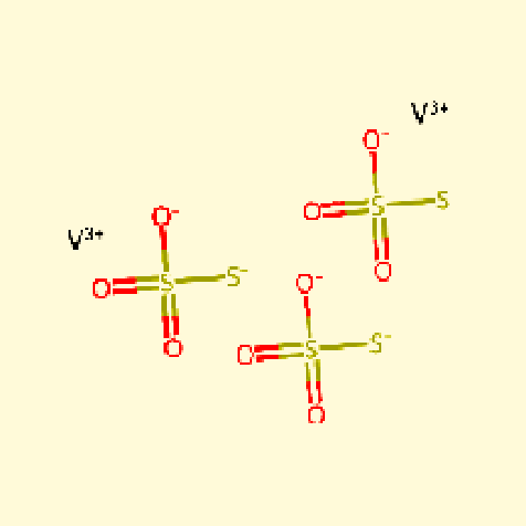 O=S(=O)([O-])[S-].O=S(=O)([O-])[S-].O=S(=O)([O-])[S-].[V+3].[V+3]